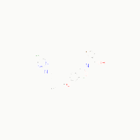 O=C(Cc1ccc(OCC[C@@H]2C[C@@H]2C2CCN(c3ncc(Cl)cn3)CC2)cc1F)N1Cc2sccc2C(O)C1